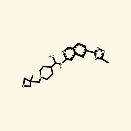 Cc1nnc(-c2ccc3cnc(NC(O)C4CCN(CC5(C)COC5)CC4)cc3c2)s1